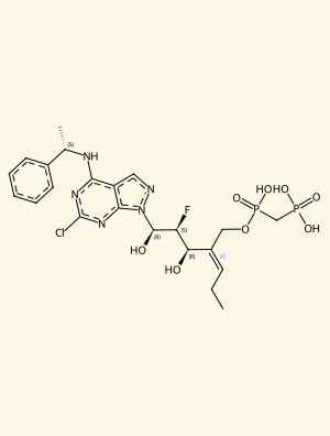 CC/C=C(/COP(=O)(O)CP(=O)(O)O)[C@@H](O)[C@H](F)[C@@H](O)n1ncc2c(N[C@@H](C)c3ccccc3)nc(Cl)nc21